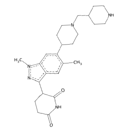 Cc1cc2c(C3CCC(=O)NC3=O)nn(C)c2cc1C1CCN(CC2CCNCC2)CC1